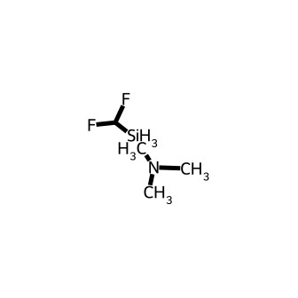 CN(C)C.FC(F)[SiH3]